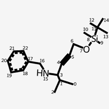 CC(C)C(C#CCO[Si](C)(C)C(C)(C)C)NCc1ccccc1